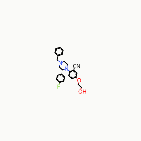 N#Cc1cc(OCCO)ccc1N1CCN(Cc2ccccc2)C[C@H]1c1ccc(F)cc1